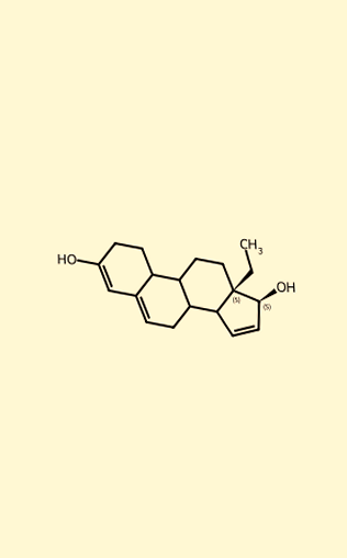 CC[C@]12CCC3C4CCC(O)=CC4=CCC3C1C=C[C@@H]2O